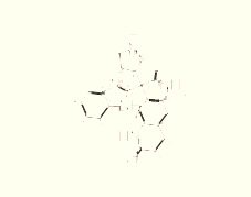 NC(=O)C(c1nc2ccccc2[nH]1)(c1cc2[nH]c(=O)ccc2cc1F)C1CCNC1